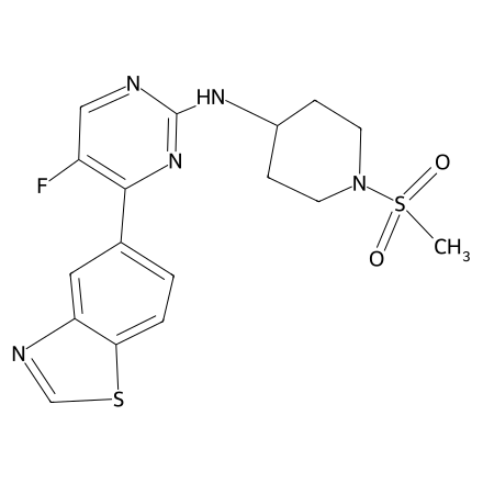 CS(=O)(=O)N1CCC(Nc2ncc(F)c(-c3ccc4scnc4c3)n2)CC1